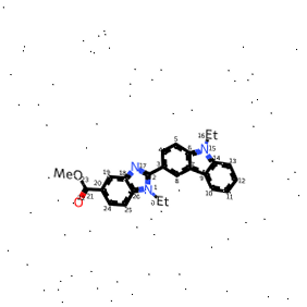 CCn1c(-c2ccc3c(c2)c2ccccc2n3CC)nc2cc(C(=O)OC)ccc21